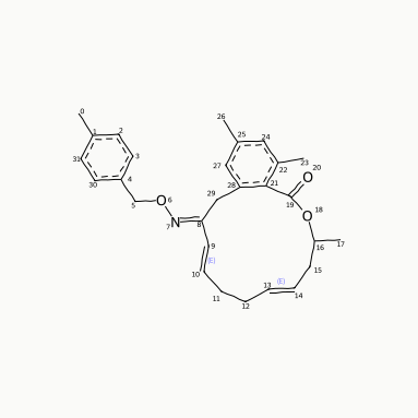 Cc1ccc(CON=C2/C=C/CC/C=C/CC(C)OC(=O)c3c(C)cc(C)cc3C2)cc1